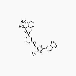 Cc1cccc(CO[C@@H]2CCC[C@H](OCc3nc(-c4ccc5c(c4)OCO5)oc3C)C2)c1C(=O)O